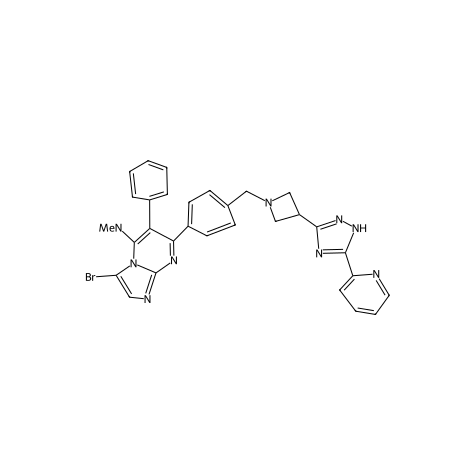 CNc1c(-c2ccccc2)c(-c2ccc(CN3CC(c4n[nH]c(-c5ccccn5)n4)C3)cc2)nc2ncc(Br)n12